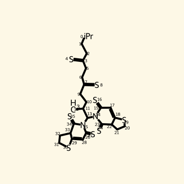 CC(C)CCC(=S)CCC(=S)CCC(C)C(N1C(=S)C=C2SCCC2C1=S)N1C(=S)C=C2SCCC2C1=S